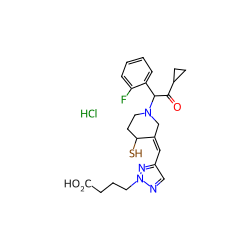 Cl.O=C(O)CCCn1ncc(C=C2CN(C(C(=O)C3CC3)c3ccccc3F)CCC2S)n1